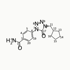 NC(=O)c1ccc(-n2nnn(CC3CCCC3)c2=O)cc1